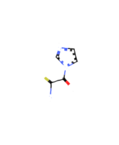 NC(=S)C(=O)n1ccnc1